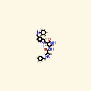 CN(Cc1ccc2[nH]c(-c3cc(NC(=O)c4cnn(Cc5ccccc5)c4)c[nH]c3=O)cc2c1)C1CCCCC1